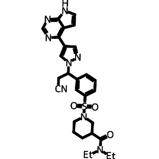 CCN(CC)C(=O)C1CCCN(S(=O)(=O)c2cccc(C(CC#N)n3cc(-c4ncnc5[nH]ccc45)cn3)c2)C1